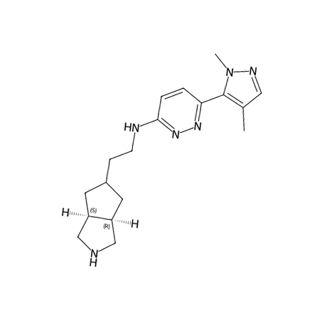 Cc1cnn(C)c1-c1ccc(NCCC2C[C@H]3CNC[C@H]3C2)nn1